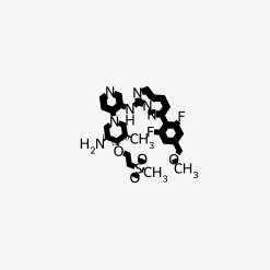 COCc1cc(F)c(-c2ccc3cnc(Nc4cnccc4N4C[C@@H](N)[C@@H](OCCS(C)(=O)=O)[C@@H](C)C4)n3n2)c(F)c1